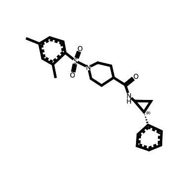 Cc1ccc(S(=O)(=O)N2CCC(C(=O)NC3C[C@@H]3c3ccccc3)CC2)c(C)c1